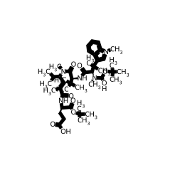 C/C(=C\C(C(C)C)N(C)C(=O)[C@@H](NC(=O)[C@@H](N(C)C(O)OC(C)(C)C)C(C)(C)c1cn(C)c2ccccc12)C(C)(C)C)C(=O)N[C@H](CCC(=O)O)C(=O)OC(C)(C)C